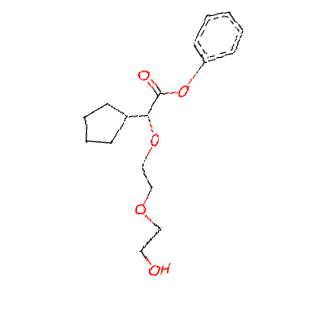 O=C(Oc1ccccc1)C(OCCOCCO)C1CCCC1